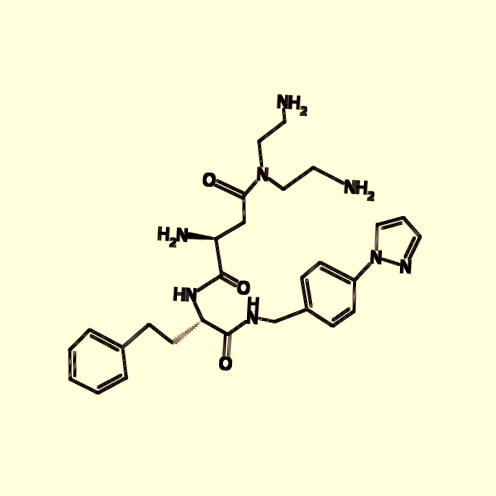 NCCN(CCN)C(=O)C[C@H](N)C(=O)N[C@@H](CCc1ccccc1)C(=O)NCc1ccc(-n2cccn2)cc1